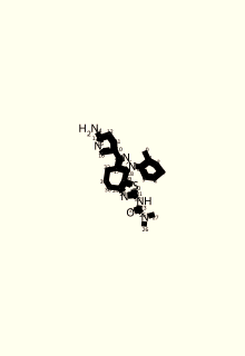 Cc1ccccc1-n1nc(-c2ccc(N)nc2)c2c1-c1sc(NC(=O)N(C)C)nc1CCC2